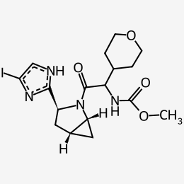 COC(=O)NC(C(=O)N1[C@@H]2C[C@@H]2C[C@H]1c1nc(I)c[nH]1)C1CCOCC1